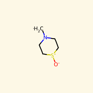 [CH2]N1CC[S+]([O-])CC1